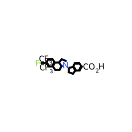 O=C(O)c1ccc2c(c1)CCC2N1CCC2c3ccc(C(F)(C(F)(F)F)C(F)(F)F)cc3CCC21